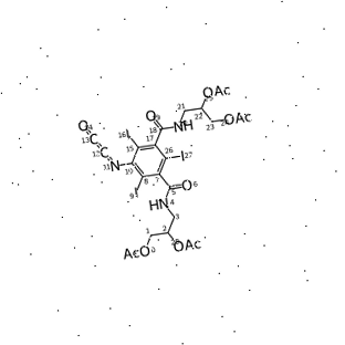 CC(=O)OCC(CNC(=O)c1c(I)c(N=C=C=O)c(I)c(C(=O)NCC(COC(C)=O)OC(C)=O)c1I)OC(C)=O